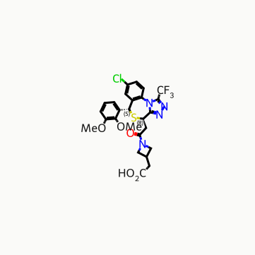 COc1cccc([C@H]2S[C@H](CC(=O)N3CC(CC(=O)O)C3)c3nnc(C(F)(F)F)n3-c3ccc(Cl)cc32)c1OC